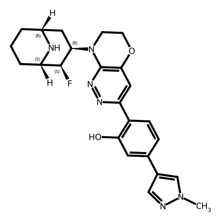 Cn1cc(-c2ccc(-c3cc4c(nn3)N([C@@H]3C[C@H]5CCC[C@H](N5)[C@@H]3F)CCO4)c(O)c2)cn1